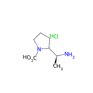 C[C@H](N)C1CCCN1C(=O)O.Cl